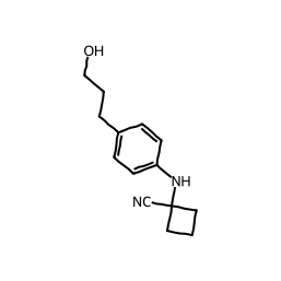 N#CC1(Nc2ccc(CCCO)cc2)CCC1